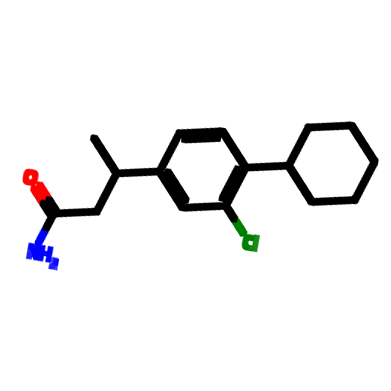 CC(CC(N)=O)c1ccc(C2CCCCC2)c(Cl)c1